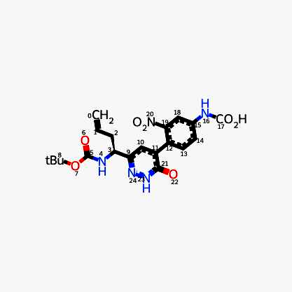 C=CC[C@H](NC(=O)OC(C)(C)C)c1cc(-c2ccc(NC(=O)O)cc2[N+](=O)[O-])c(=O)[nH]n1